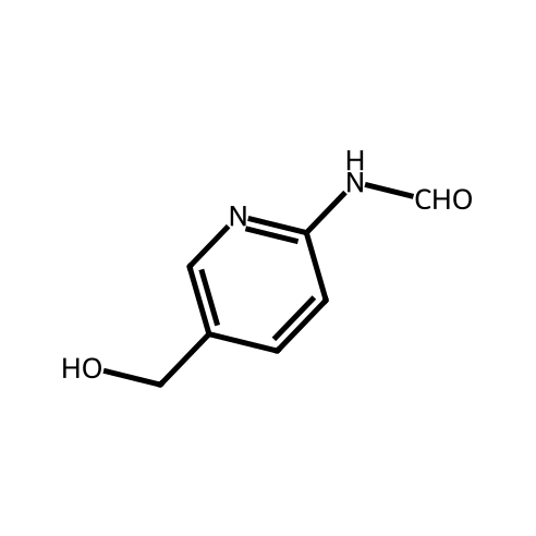 O=CNc1ccc(CO)cn1